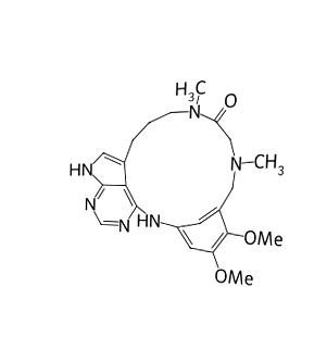 COc1cc2cc(c1OC)CN(C)CC(=O)N(C)CCCc1c[nH]c3ncnc(c13)N2